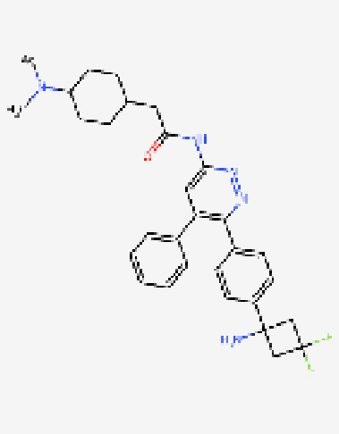 CC(=O)N(C)C1CCC(CC(=O)Nc2cc(-c3ccccc3)c(-c3ccc(C4(N)CC(F)(F)C4)cc3)nn2)CC1